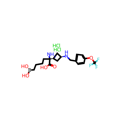 Cl.Cl.NC(CCCCB(O)O)(C(=O)O)[C@H]1C[C@@H](NCc2ccc(OC(F)(F)F)cc2)C1